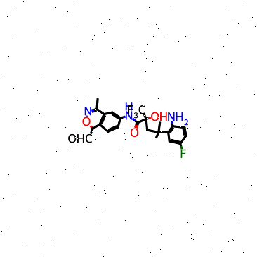 CC1=NOC(C=O)c2ccc(NC(=O)C(O)(CC(C)(C)c3cc(F)ccc3N)C(F)(F)F)cc21